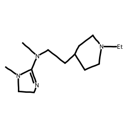 CCN1CCC(CCN(C)C2=NCCN2C)CC1